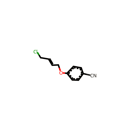 N#Cc1ccc(OCC=CCCl)cc1